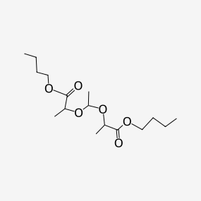 CCCCOC(=O)C(C)OC(C)OC(C)C(=O)OCCCC